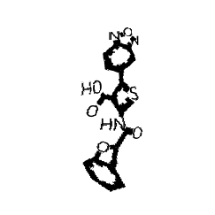 O=C(O)c1c(NC(=O)C2Cc3ccccc3O2)csc1-c1ccc2nonc2c1